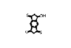 O=C1CC(=S)c2cc3c(cc21)C(=S)CC3O